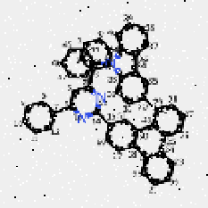 c1ccc(-c2cc(-c3ccccc3)nc(-c3ccc4c5ccccc5c5cccc(-c6ccc7c(c6)c6ccccc6n7-c6ccccc6)c5c4c3)n2)cc1